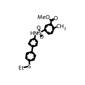 CCSc1ccc(-c2ccc(NS(=O)(=O)c3ccc(C)c(C(=O)OC)c3)cc2)cc1